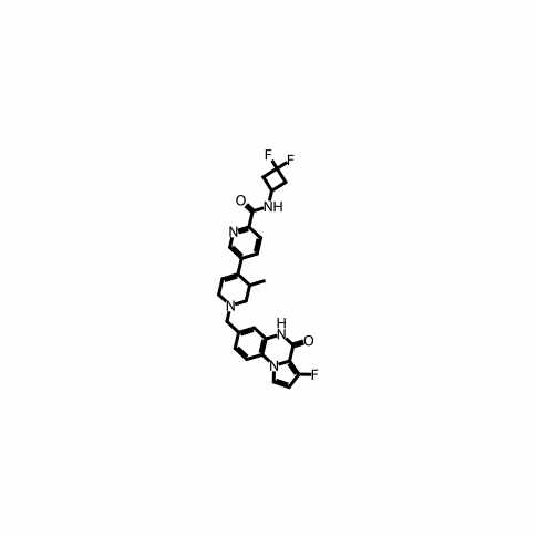 CC1CN(Cc2ccc3c(c2)[nH]c(=O)c2c(F)ccn23)CC=C1c1ccc(C(=O)NC2CC(F)(F)C2)nc1